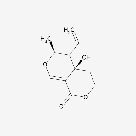 C=CC1[C@H](C)OC=C2C(=O)OCC[C@]21O